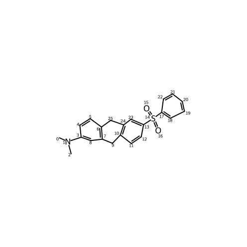 CN(C)c1ccc2c(c1)Cc1ccc(S(=O)(=O)c3ccccc3)cc1C2